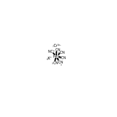 N#[C][Fe-3]([C]#N)([C]#N)([C]#N)([C]#N)[C]#N.[Cr+3].[K+]